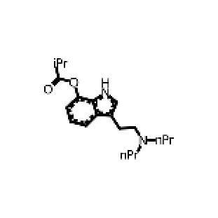 CCCN(CCC)CCc1c[nH]c2c(OC(=O)C(C)C)cccc12